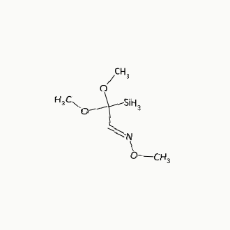 CON=CC([SiH3])(OC)OC